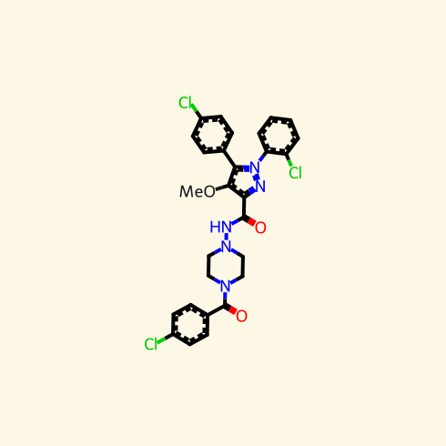 COc1c(C(=O)NN2CCN(C(=O)c3ccc(Cl)cc3)CC2)nn(-c2ccccc2Cl)c1-c1ccc(Cl)cc1